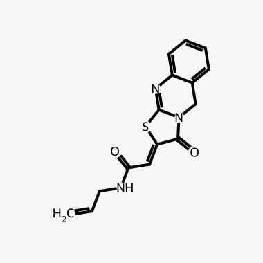 C=CCNC(=O)C=c1sc2n(c1=O)Cc1ccccc1N=2